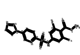 COC(=O)c1c(F)cc(NS(=O)(=O)c2ccc(-n3ccnn3)cn2)cc1F